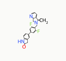 C=C1c2cccnc2CN1Cc1c(F)cc(-c2ccc3c(c2)CC(=O)N3)cc1F